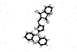 O=C1/C(=C/c2ccc(N3c4ccccc4[Se]c4ccccc43)[se]2)C(=O)c2ncccc21